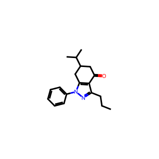 CCCc1nn(-c2ccccc2)c2c1C(=O)CC(C(C)C)C2